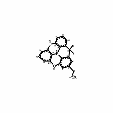 CC(C)(C)Cc1cc2c3c(c1)C(C)(C)c1cccc4c1B3c1c(cccc1O2)O4